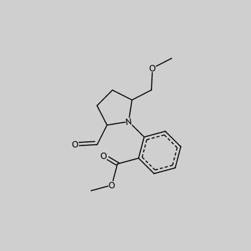 COCC1CCC(C=O)N1c1ccccc1C(=O)OC